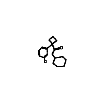 O=C(CC1CCCCC1)C1(c2cccc(Cl)c2)CCC1